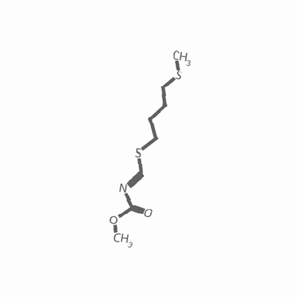 COC(=O)N=CSCCCCSC